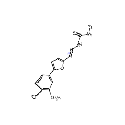 CCNC(=S)N/N=C/c1ccc(-c2ccc(Cl)c(C(=O)O)c2)o1